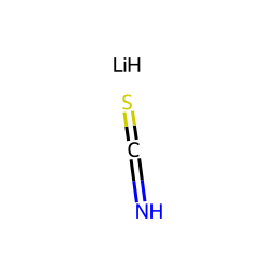 N=C=S.[LiH]